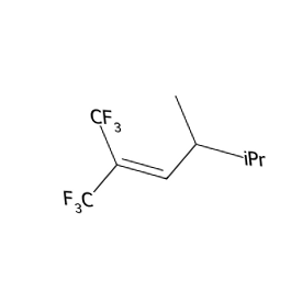 CC(C)C(C)C=C(C(F)(F)F)C(F)(F)F